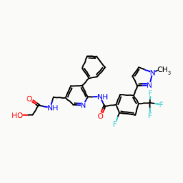 Cn1ccc(-c2cc(C(=O)Nc3ncc(CNC(=O)CO)cc3-c3ccccc3)c(F)cc2C(F)(F)F)n1